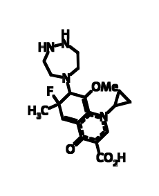 COC1=c2c(c(=O)c(C(=O)O)cn2C2CC2)=CC(C)(F)C1N1CCNNCC1